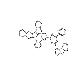 c1ccc(-c2nc(-c3cccc(-c4ccccc4-n4c5cc6ccccc6cc5c5c6ccccc6ccc54)c3)nc(-c3cccc4oc5ccccc5c34)n2)cc1